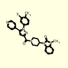 Cn1c(=O)n(C2CCN(C(=O)c3cc(-c4ccncc4)n(-c4ccc(C(F)(F)F)c(F)c4)n3)CC2)c2ccccc21